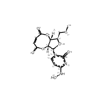 O=C1/C=C\C(=O)O[C@H]2[C@@H](O1)[C@H](n1ccc(NO)nc1=O)O[C@@H]2COI